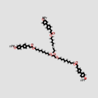 CCCOc1ccc(-c2ccc(C=CC(=O)OCCCCCCCCCCOCC(COCCCCCCCCCCOC(=O)C=Cc3ccc(-c4ccc(OCCC)cc4)cc3)OCCCCCCCCCCOC(=O)C=Cc3ccc(-c4ccc(OCCC)cc4)cc3)cc2)cc1